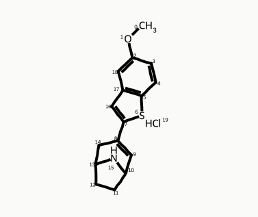 COc1ccc2sc(C3=CC4CCC(C3)N4)cc2c1.Cl